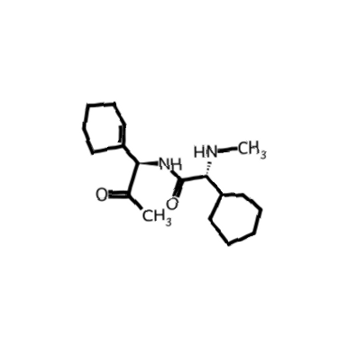 CN[C@@H](C(=O)N[C@@H](C(C)=O)C1=CCCCC1)C1CCCCC1